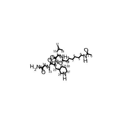 CC(=O)NCCCCC[C@H](C)C(=O)N[C@@H](CC(C)C)C(=O)N[C@@H](CC1CCCNC1)C(=O)N(C)CC(N)=O